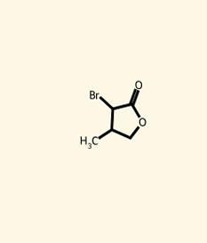 CC1COC(=O)C1Br